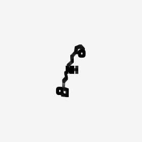 C(=C\c1ccco1)/CNC/C=C/c1ccco1